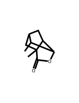 CC1C2CC3C1OC(=O)C3(C)C2